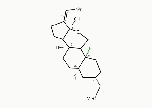 CCC/C=C1/CCC2[C@@H]3CC[C@@H]4C[C@@H](COC)CC[C@]4(F)C3CC[C@]12C